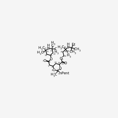 CCCCCC1(C)OC(CC(=O)OC2CC(C)(C)NC(C)(C)C2)CC(C(=O)OCCC(C)(C)NC(C)(C)CC)O1